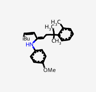 CCC(C)/C=C\C(=C/CC(C)(C)c1ccccc1C)Nc1ccc(OC)cc1